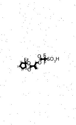 C=C(COC(=O)C(F)(F)S(=O)(=O)O)C(=O)OC1(CC)CCCC1